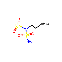 CCCCCCCCN([SH](=O)=O)S(N)(=O)=O